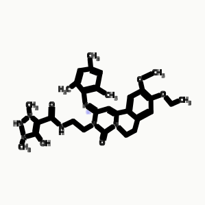 CCOc1cc2c(cc1OC)-c1c/c(=N\c3c(C)cc(C)cc3C)n(CCNC(=O)C3=C(O)N(C)NN3C)c(=O)n1CC2